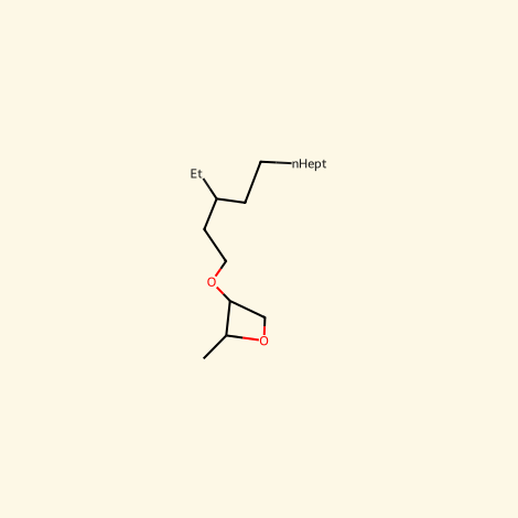 CCCCCCCCCC(CC)CCOC1COC1C